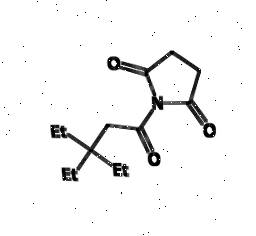 CCC(CC)(CC)CC(=O)N1C(=O)CCC1=O